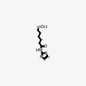 CCCCCCCCCCCCCC(=O)Nc1nccs1